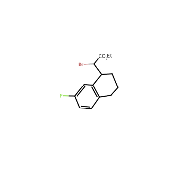 CCOC(=O)C(Br)C1CCCc2ccc(F)cc21